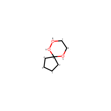 C1CCC2(C1)OCCOO2